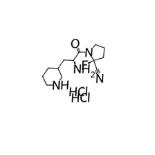 Cl.Cl.N#C[C@@]1(F)CCCN1C(=O)[C@@H](N)CC1CCCNC1